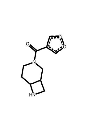 O=C(c1cnoc1)N1CCC2NCC2C1